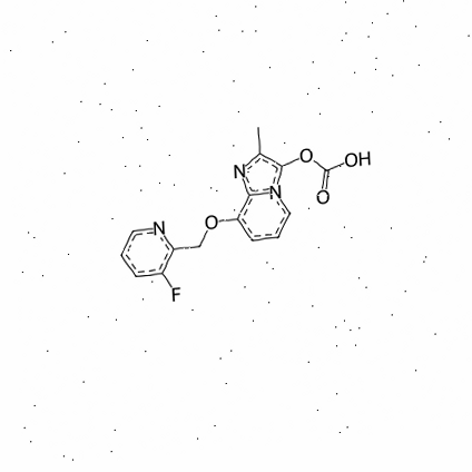 Cc1nc2c(OCc3ncccc3F)cccn2c1OC(=O)O